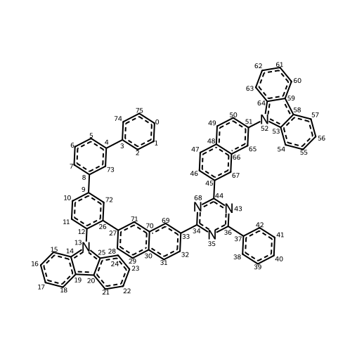 c1ccc(-c2cccc(-c3ccc(-n4c5ccccc5c5ccccc54)c(-c4ccc5ccc(-c6nc(-c7ccccc7)nc(-c7ccc8ccc(-n9c%10ccccc%10c%10ccccc%109)cc8c7)n6)cc5c4)c3)c2)cc1